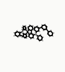 c1ccc(-c2cccc(-c3cccc(N(c4ccccc4)c4cccc5c4-c4ccccc4C54c5ccccc5-n5c6ccccc6c6cccc4c65)c3)c2)cc1